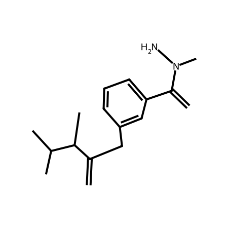 C=C(Cc1cccc(C(=C)N(C)N)c1)C(C)C(C)C